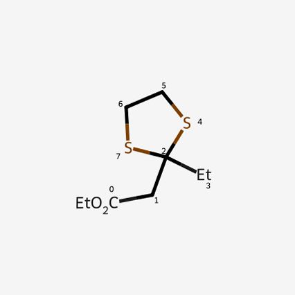 CCOC(=O)CC1(CC)SCCS1